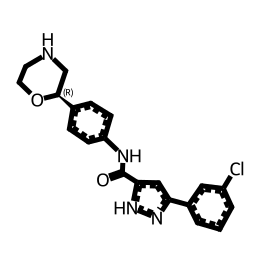 O=C(Nc1ccc([C@@H]2CNCCO2)cc1)c1cc(-c2cccc(Cl)c2)n[nH]1